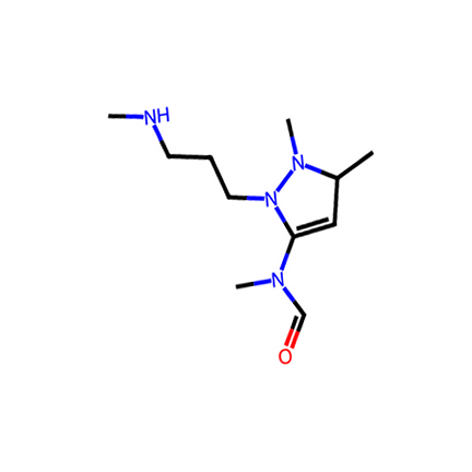 CNCCCN1C(N(C)C=O)=CC(C)N1C